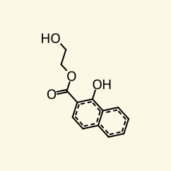 O=C(OCCO)c1ccc2ccccc2c1O